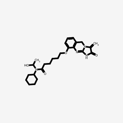 C=c1c(=O)[nH]c2n1Cc1cccc(OCCCCCC(=O)N(C(C)O)C3CCCCC3)c1N=2